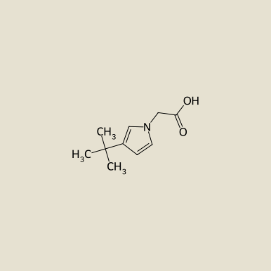 CC(C)(C)c1ccn(CC(=O)O)c1